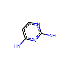 [NH]c1ccnc([NH])n1